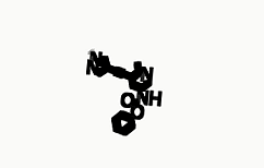 Cc1ncc(NC(=O)Oc2ccccc2)cc1C#Cc1cnn(C)c1